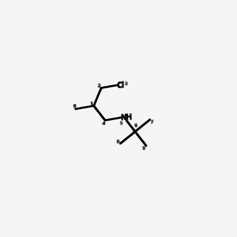 CC(CCl)CNC(C)(C)C